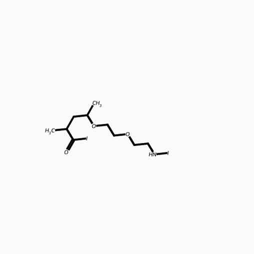 CC(CC(C)C(=O)I)OCCOCCNI